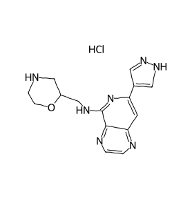 Cl.c1cnc2c(NCC3CNCCO3)nc(-c3cn[nH]c3)cc2n1